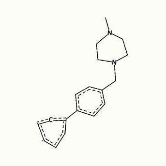 CN1CCN(Cc2ccc(-c3cc[c]cc3)cc2)CC1